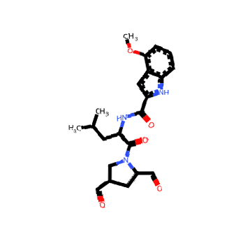 COc1cccc2[nH]c(C(=O)NC(CC(C)C)C(=O)N3CC(C=O)CC3C=O)cc12